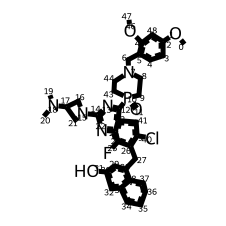 COc1ccc(CN2CCP(=O)(c3nc(N4CC(N(C)C)C4)nc4c(F)c(Cc5cc(O)cc6ccccc56)c(Cl)cc34)CC2)c(OC)c1